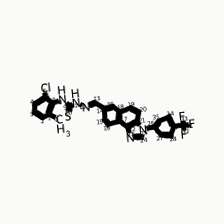 Cc1cccc(Cl)c1NC(=S)N/N=C/c1ccc2c(ccc3c2ncn3-c2ccc(C(F)(F)F)cc2)c1